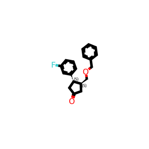 O=C1C[C@H](COCc2ccccc2)[C@@H](c2cccc(F)c2)C1